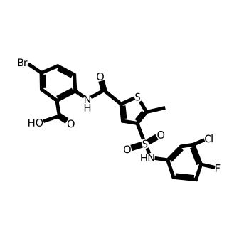 Cc1sc(C(=O)Nc2ccc(Br)cc2C(=O)O)cc1S(=O)(=O)Nc1ccc(F)c(Cl)c1